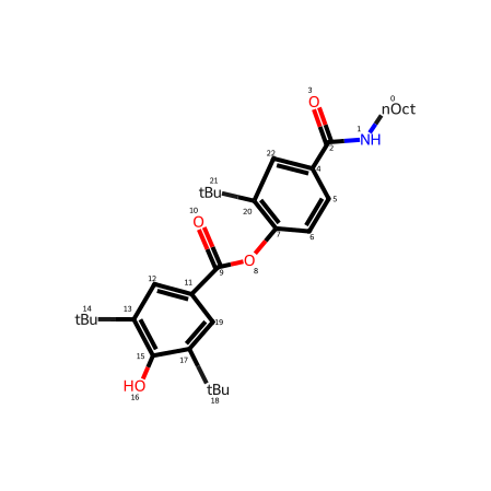 CCCCCCCCNC(=O)c1ccc(OC(=O)c2cc(C(C)(C)C)c(O)c(C(C)(C)C)c2)c(C(C)(C)C)c1